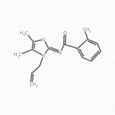 C=CCn1c(C)c(C)o/c1=N\C(=O)c1ccccc1C